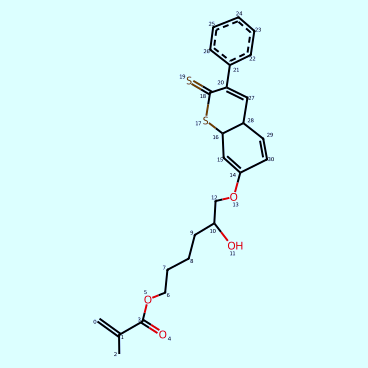 C=C(C)C(=O)OCCCCC(O)COC1=CC2SC(=S)C(c3ccccc3)=CC2C=C1